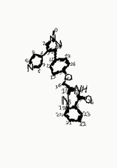 Cn1cc(-c2ccncc2)c(-c2ccc(OCc3nc4ccccc4c(=O)[nH]3)cc2)n1